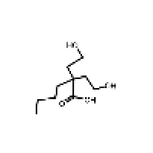 CCCCC(CCO)(CCO)C(=O)O